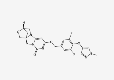 Cn1cc(Oc2c(F)cc(COc3cc4n(c(=O)n3)C[C@]35CO[C@H](CN43)C5)cc2F)cn1